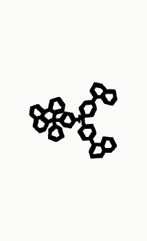 c1ccc(C2(c3ccc(N(c4ccc(-c5cccc6ccccc56)cc4)c4ccc(-c5cccc6ccccc56)cc4)cc3)c3ccccc3-c3cccc4cccc2c34)cc1